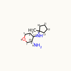 CC1(NC2CCOC[C@H]2N)CCCC1